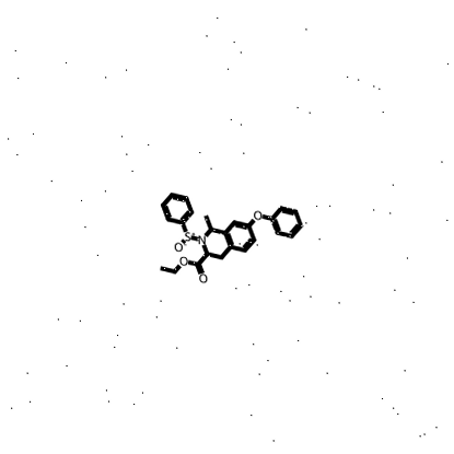 CCOC(=O)C1Cc2ccc(Oc3ccccc3)cc2C(C)N1[S+]([O-])c1ccccc1